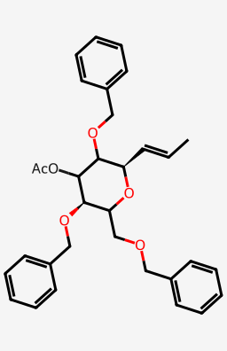 C/C=C/[C@H]1OC(COCc2ccccc2)[C@@H](OCc2ccccc2)C(OC(C)=O)C1OCc1ccccc1